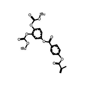 C=C(C)C(=O)Oc1ccc(C(=O)Oc2ccc(OC(=O)OC(C)(C)C)c(OC(=O)OC(C)(C)C)c2)cc1